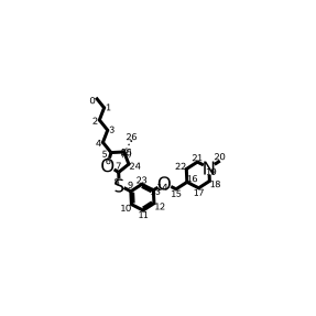 CCCCCC1OC(Sc2cccc(OCC3CCN(C)CC3)c2)C[C@H]1C